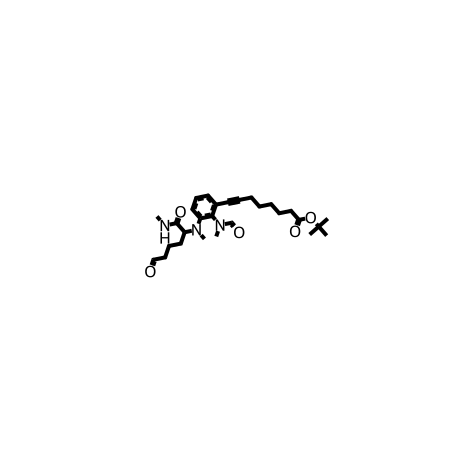 CNC(=O)C(CCCC=O)N(C)c1cccc(C#CCCCCCC(=O)OC(C)(C)C)c1N(C)C=O